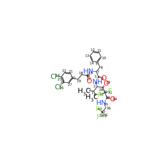 CC(C)C(NC(=O)C(Cc1ccccc1)NC(=O)CCc1ccc(Cl)c(Cl)c1)C(=O)C(F)(F)C(=O)NCC(F)(F)F